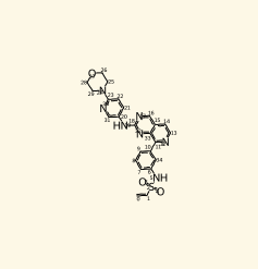 C=CS(=O)(=O)Nc1cccc(-c2nccc3cnc(Nc4ccc(N5CCOCC5)nc4)nc23)c1